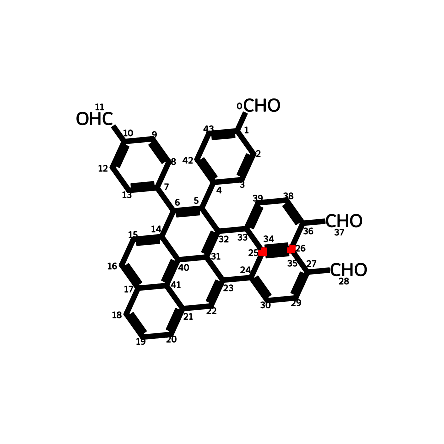 O=Cc1ccc(-c2c(-c3ccc(C=O)cc3)c3ccc4cccc5cc(-c6ccc(C=O)cc6)c(c2-c2ccc(C=O)cc2)c3c45)cc1